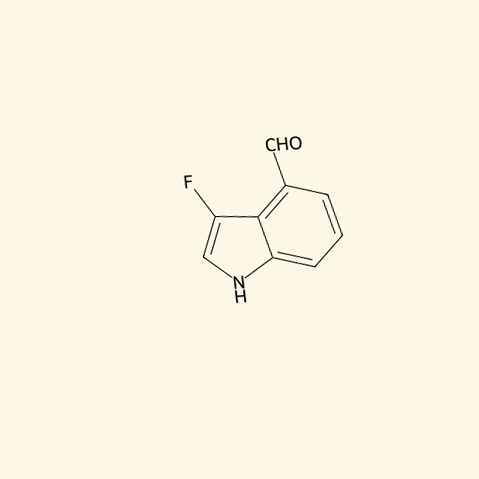 O=Cc1cccc2[nH]cc(F)c12